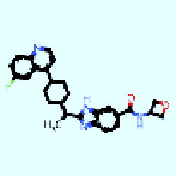 CC(c1nc2ccc(C(=O)NC3COC3)cc2[nH]1)C1CCC(c2ccnc3ccc(F)cc23)CC1